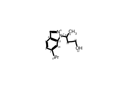 CC(C)c1ccc2cnn(C(C)CCO)c2c1